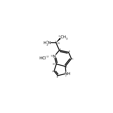 C[C@H](N)c1ccc2[nH]ccc2n1.Cl